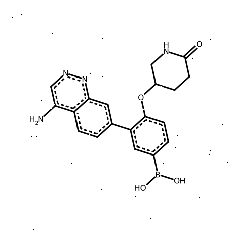 Nc1cnnc2cc(-c3cc(B(O)O)ccc3OC3CCC(=O)NC3)ccc12